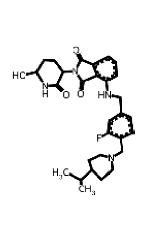 CC(C)C1CCN(Cc2ccc(CNc3cccc4c3C(=O)N(C3CCC(O)NC3=O)C4=O)cc2F)CC1